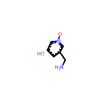 Cl.NCc1ccc[n+]([O-])c1